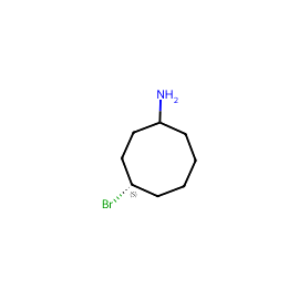 NC1CCCC[C@H](Br)CC1